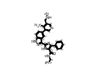 CCNCc1cncc(-c2ccc3[nH]nc(-c4nc(-c5ccccc5)c(C(=O)NCC(C)C)[nH]4)c3c2)c1C